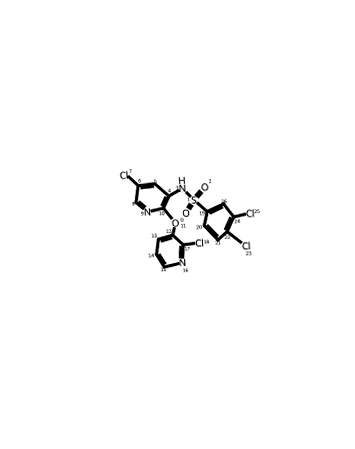 O=S(=O)(Nc1cc(Cl)cnc1Oc1cccnc1Cl)c1ccc(Cl)c(Cl)c1